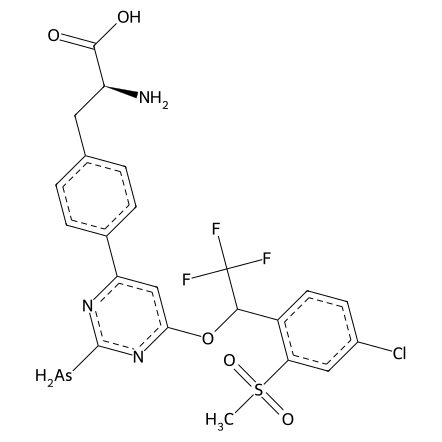 CS(=O)(=O)c1cc(Cl)ccc1C(Oc1cc(-c2ccc(C[C@H](N)C(=O)O)cc2)nc([AsH2])n1)C(F)(F)F